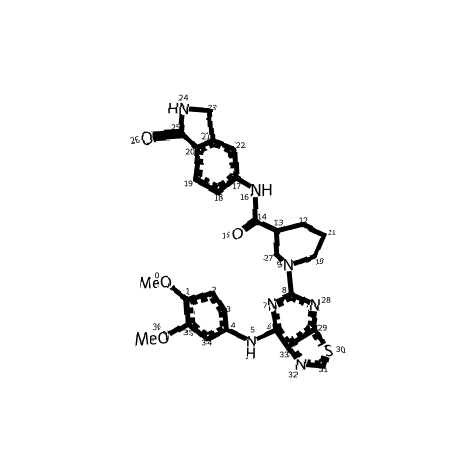 COc1ccc(Nc2nc(N3CCCC(C(=O)Nc4ccc5c(c4)CNC5=O)C3)nc3scnc23)cc1OC